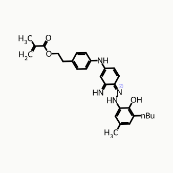 C=C(C)C(=O)OCCc1ccc(NC2=CC(=N)/C(=N\Nc3cc(C)cc(CCCC)c3O)C=C2)cc1